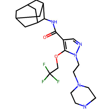 O=C(NC1C2CC3CC(C2)CC1C3)c1cnn(CCN2CCNCC2)c1OCC(F)(F)F